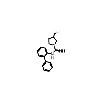 N=C(Nc1ccccc1-c1ccccc1)N1CCC(O)C1